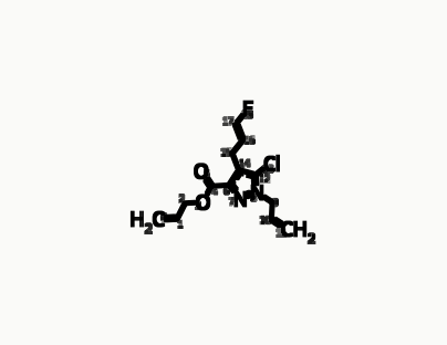 C=CCOC(=O)c1nn(CC=C)c(Cl)c1CC=CF